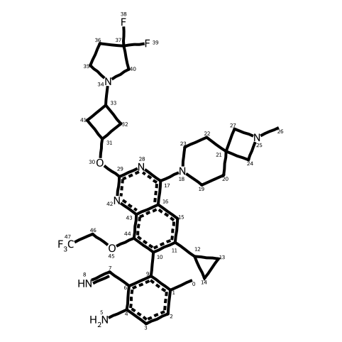 Cc1ccc(N)c(C=N)c1-c1c(C2CC2)cc2c(N3CCC4(CC3)CN(C)C4)nc(OC3CC(N4CCC(F)(F)C4)C3)nc2c1OCC(F)(F)F